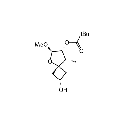 CO[C@@H]1O[C@]2(C[C@@H](O)C2)[C@@H](C)[C@H]1OC(=O)C(C)(C)C